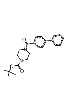 CC(C)(C)OC(=O)N1CCN(C(=O)c2ccc(-c3ccccc3)cc2)CC1